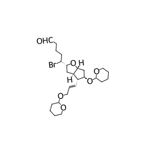 O=CCCCC(Br)[C@H]1C[C@@H]2[C@@H](C=CCOC3CCCCO3)[C@H](OC3CCCCO3)C[C@H]2O1